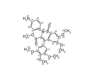 COC(=O)c1c(-c2cc(OC)c(OC)c(OC)c2)c2cc(OC)c(OC)cc2c(=O)n1-c1ccc(N)cc1